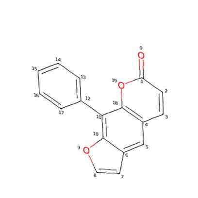 O=c1ccc2cc3ccoc3c(-c3ccccc3)c2o1